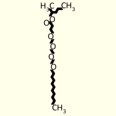 CCCCCCCCCCCCOCCOCCOCCOCCCC(=O)OCC(CC)CCCC